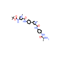 C[C@H](N)C(=O)Nc1ccc(NC(=O)c2cc(-c3ccc(NC(=O)c4cc(NC(=O)OC(C)(C)C)cn4C)cc3)cn2C)cc1